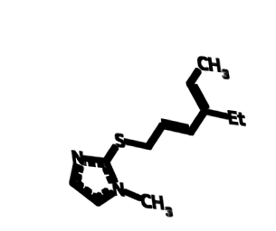 CC=C(C=CCSc1nccn1C)CC